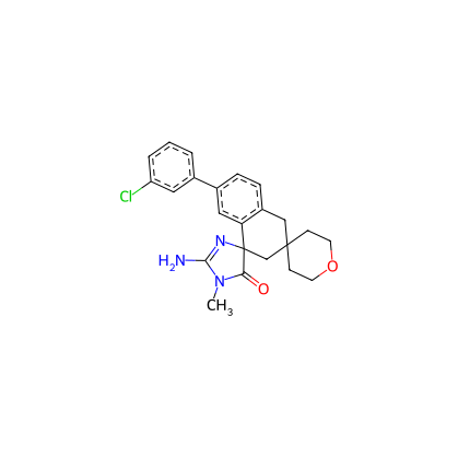 CN1C(=O)C2(CC3(CCOCC3)Cc3ccc(-c4cccc(Cl)c4)cc32)N=C1N